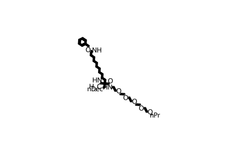 CCCCCCCCCCCC(CCCCCCCCCCC(=N)OCc1ccccc1)(C(C)=N)C(=O)NCCOCCOCCOCCOCCOCCC